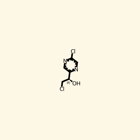 O[C@@H](CCl)c1cnc(Cl)cn1